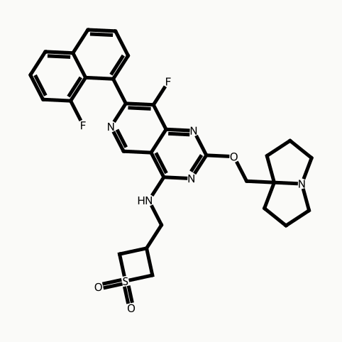 O=S1(=O)CC(CNc2nc(OCC34CCCN3CCC4)nc3c(F)c(-c4cccc5cccc(F)c45)ncc23)C1